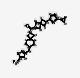 O=C(N1CC2(CCN(Cc3cc(C(F)(F)F)sn3)CC2)C1)N1CC2(CC(n3cnc(C4CC4)n3)C2)C1